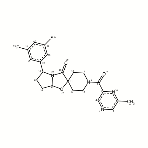 Cc1cncc(C(=O)N2CCC3(CC2)OC2CCC(c4cc(F)cc(F)c4)N2C3=O)n1